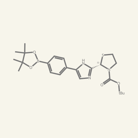 CC(C)(C)OC(=O)N1CCS[C@H]1c1ncc(-c2ccc(B3OC(C)(C)C(C)(C)O3)cc2)[nH]1